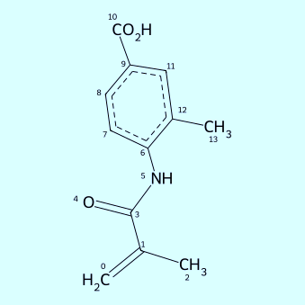 C=C(C)C(=O)Nc1ccc(C(=O)O)cc1C